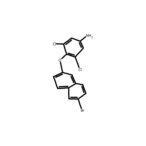 Nc1cc(Cl)c(Oc2ccc3cc(Br)ccc3c2)c(Cl)c1